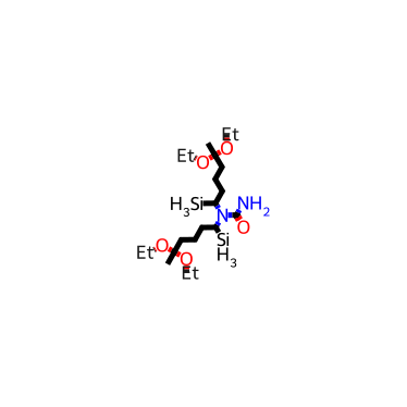 CCOC(C)(CCCC([SiH3])N(C(N)=O)C([SiH3])CCCC(C)(OCC)OCC)OCC